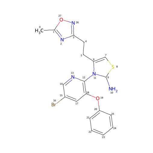 Cc1nc(CCC2=CSC(N)N2c2ncc(Br)cc2Oc2ccccc2)no1